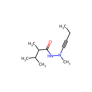 CCC#CN(C)NC(=O)C(C)C(C)C